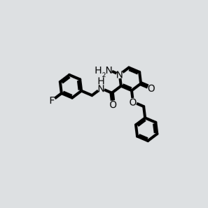 Nn1ccc(=O)c(OCc2ccccc2)c1C(=O)NCc1cccc(F)c1